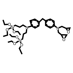 CCO[Si](CCCN(CCC[Si](OCC)(OCC)OCC)c1ccc(Cc2ccc(N(CC3CO3)CC3CO3)cc2)cc1)(OCC)OCC